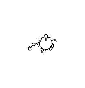 C[C@@H]1NC(=O)[C@H](CCn2cc(-c3ccccn3)nn2)NC(=O)C(C)(C)/C=C/c2cc3cc(ccc3cn2)[C@@H](C)OC(=O)[C@@H]2CCCN(N2)C1=O